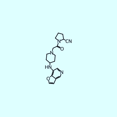 N#CC1CCCN1C(=O)CN1CCC(Nc2cncc3ccoc23)CC1